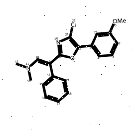 COc1cccc(-c2oc(C(=CN(C)C)c3ccccc3)nc2Cl)c1